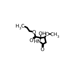 CCCOC(=O)[C@@]1(O)NC(=O)CC1OC